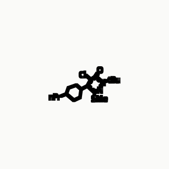 CCCC1CCC(c2c(SC)nn(C(C)(C)C)c(=O)c2Cl)CC1